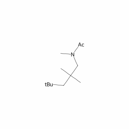 CC(=O)N(C)CC(C)(C)CC(C)(C)C